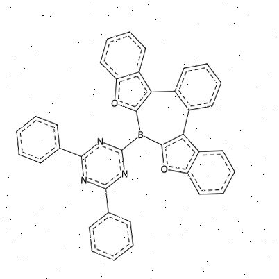 c1ccc(-c2nc(B3c4oc5ccccc5c4-c4ccccc4-c4c3oc3ccccc43)nc(-c3ccccc3)n2)cc1